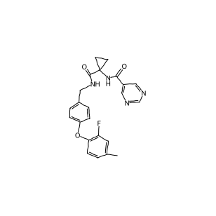 Cc1ccc(Oc2ccc(CNC(=O)C3(NC(=O)c4cncnc4)CC3)cc2)c(F)c1